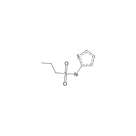 CCCS(=O)(=O)[N]c1cccs1